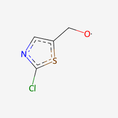 [O]Cc1cnc(Cl)s1